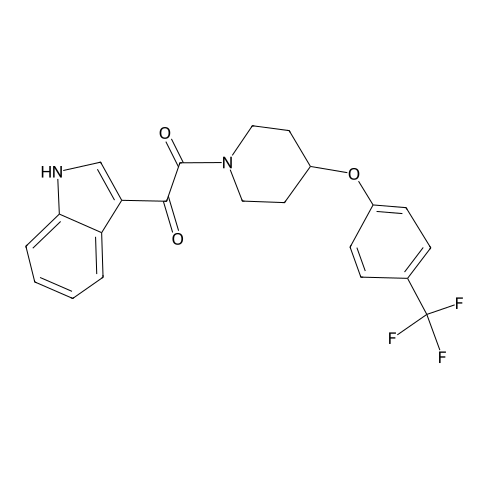 O=C(C(=O)N1CCC(Oc2ccc(C(F)(F)F)cc2)CC1)c1c[nH]c2ccccc12